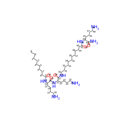 CCCCCCCCCC(=O)NC(CCCCN)C(=O)NC(CCCCN)C(=O)NCCCCCCCCCCCC(=O)NC(CCCCN)C(N)=O